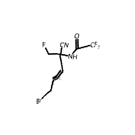 N#CC(/C=C/CBr)(CF)NC(=O)C(F)(F)F